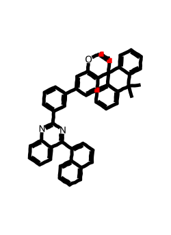 CC1(C)c2ccccc2C2(c3ccccc3Oc3cc(-c4cccc(-c5nc(-c6cccc7ccccc67)c6ccccc6n5)c4)ccc32)c2ccccc21